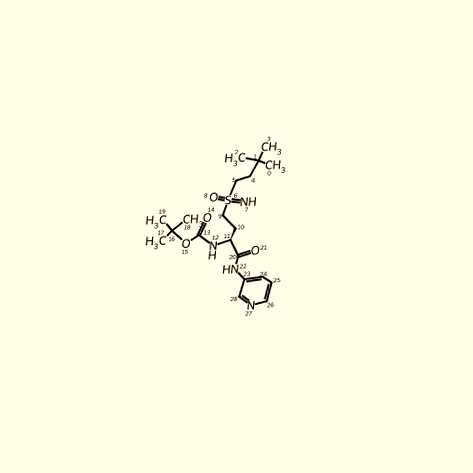 CC(C)(C)CCS(=N)(=O)CC[C@H](NC(=O)OC(C)(C)C)C(=O)Nc1cccnc1